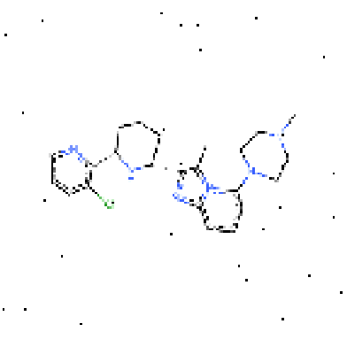 Cc1c([C@H]2CCC[C@@H](c3ncccc3Cl)N2)nc2cccc(N3CCN(C)CC3)n12